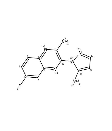 Cc1nc2ccc(F)cc2nc1-n1nccc1N